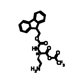 NCC[C@H](NC(=O)OCC1c2ccccc2-c2ccccc21)C(=O)OC(=O)C(F)(F)F